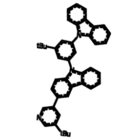 CC(C)(C)c1cncc(-c2ccc3c(c2)c2ccccc2n3-c2cc(-n3c4ccccc4c4ccccc43)cc(C(C)(C)C)c2)c1